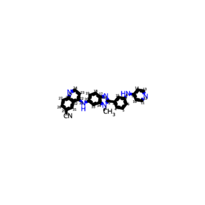 Cn1c(-c2cccc(Nc3ccncc3)c2)nc2ccc(Nc3ccnc4ccc(C#N)cc34)cc21